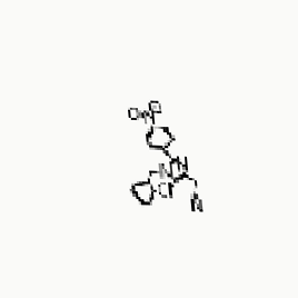 N#CCc1nc(-c2ccc([N+](=O)[O-])cc2)n(Cc2ccccc2)c1Cl